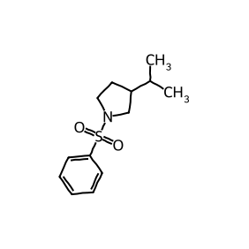 CC(C)C1CCN(S(=O)(=O)c2ccccc2)C1